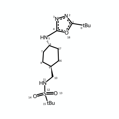 CC(C)(C)c1nnc(N[C@H]2CC[C@H](CNS(=O)(=O)C(C)(C)C)CC2)o1